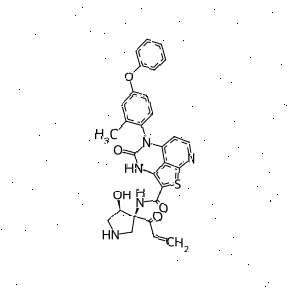 C=CC(=O)[C@]1(NC(=O)c2sc3nccc4c3c2NC(=O)N4c2ccc(Oc3ccccc3)cc2C)CNC[C@H]1O